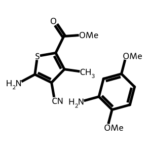 COC(=O)c1sc(N)c(C#N)c1C.COc1ccc(OC)c(N)c1